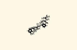 CNC(=N)NC(=N)N(C)c1cccc(OCNC(=N)NC(=N)Nc2cccc(O)c2O)c1O